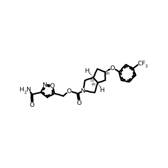 NC(=O)c1cc(COC(=O)N2C[C@H]3C[C@@H](Oc4cccc(C(F)(F)F)c4)C[C@H]3C2)on1